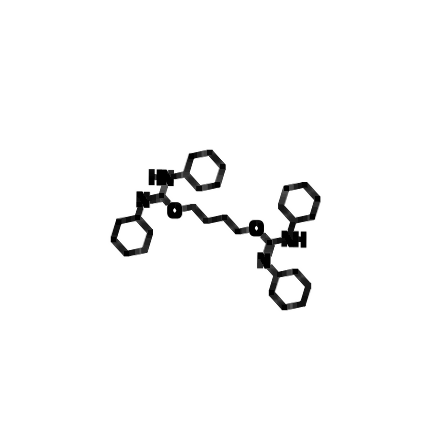 C1CCC(N=C(NC2CCCCC2)OCCCCOC(=NC2CCCCC2)NC2CCCCC2)CC1